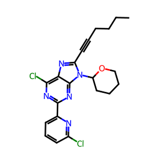 CCCCC#Cc1nc2c(Cl)nc(-c3cccc(Cl)n3)nc2n1C1CCCCO1